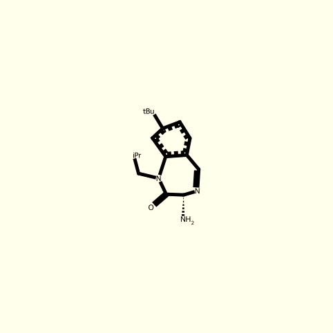 CC(C)CN1C(=O)[C@@H](N)N=Cc2ccc(C(C)(C)C)cc21